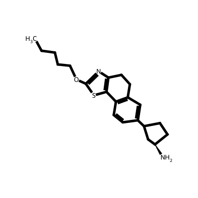 CCCCCOc1nc2c(s1)-c1ccc(C3CC[C@@H](N)C3)cc1CC2